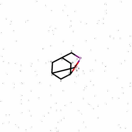 C1[C]2CC3CC1CP(C3)O2